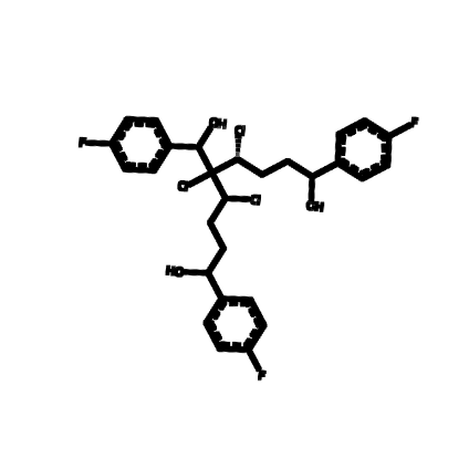 OC(CCC(Cl)C(Cl)(C(O)c1ccc(F)cc1)[C@H](Cl)CCC(O)c1ccc(F)cc1)c1ccc(F)cc1